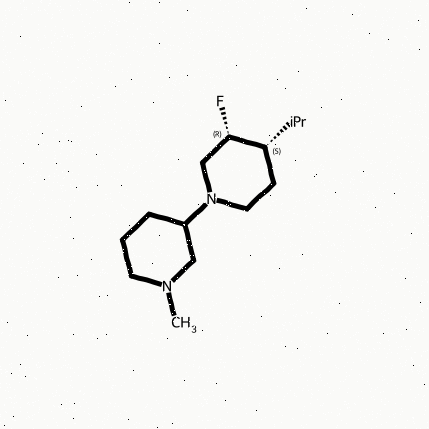 CC(C)[C@@H]1CCN(C2CCCN(C)C2)C[C@@H]1F